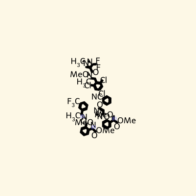 CO/C=C(/C(=O)OC)c1ccccc1Oc1cc(Oc2ccccc2C#N)ncn1.CO/N=C(/C(=O)OC)c1ccccc1CO/N=C(\C)c1cccc(C(F)(F)F)c1.CON(C(=O)c1cn(C)nc1C(F)F)C(C)Cc1c(Cl)cc(Cl)cc1Cl